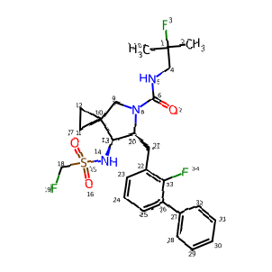 CC(C)(F)CNC(=O)N1CC2(CC2)[C@H](NS(=O)(=O)CF)[C@@H]1Cc1cccc(-c2ccccc2)c1F